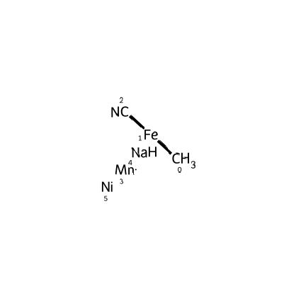 [CH3][Fe][C]#N.[Mn].[NaH].[Ni]